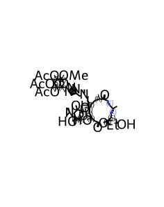 CC[C@H]1OC(=O)C[C@@H](O)[C@H](C)[C@@H](O[C@@H]2O[C@H](C)[C@@H](O)C(N(C)C)C2O)[C@@H](CCN(C)Cc2cn(C[C@H]3O[C@H](OC)[C@H](OC(C)=O)[C@@H](OC(C)=O)[C@@H]3OC(C)=O)nn2)C[C@@H](C)C(=O)/C=C/C(C)=C/[C@@H]1CCO